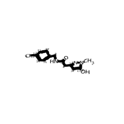 Cn1nc(CC(=O)NCc2ccc(Cl)cc2)cc1O